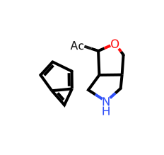 CC(=O)C1OCC2CNCC21.c1cc2cc-2c1